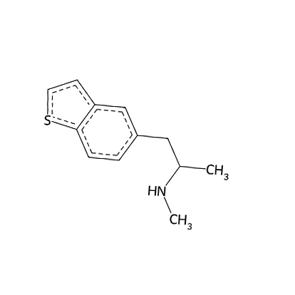 CNC(C)Cc1ccc2sccc2c1